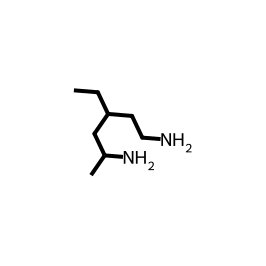 CCC(CCN)CC(C)N